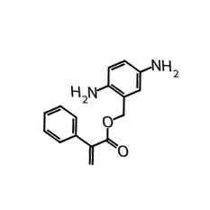 C=C(C(=O)OCc1cc(N)ccc1N)c1ccccc1